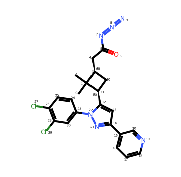 CC1(C)[C@@H](CC(=O)N=[N+]=[N-])C[C@H]1c1cc(-c2cccnc2)nn1-c1ccc(Cl)c(Cl)c1